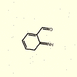 N=C1CC=CC=C1C=O